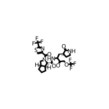 O=C(COC(F)(F)F)C(C[C@@H]1CCNC1=O)NC(=O)[C@@H]1[C@H]2CCC[C@H]2CN1C(=O)c1csc(C(F)(F)F)n1